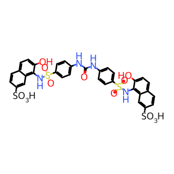 O=C(Nc1ccc(S(=O)(=O)Nc2c(O)ccc3ccc(S(=O)(=O)O)cc23)cc1)Nc1ccc(S(=O)(=O)Nc2c(O)ccc3ccc(S(=O)(=O)O)cc23)cc1